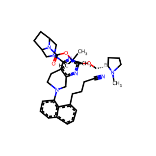 CN1CCC[C@H]1COc1nc2c(c(N3CC4CCC(C3)N4C(=O)OC(C)(C)C)n1)CCN(c1cccc3cccc(CCCC#N)c13)C2